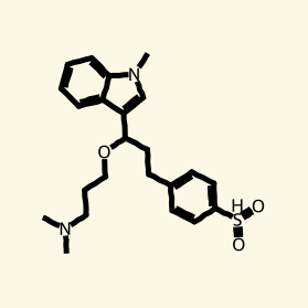 CN(C)CCCOC(CCc1ccc([SH](=O)=O)cc1)c1cn(C)c2ccccc12